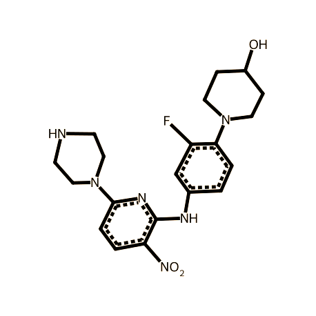 O=[N+]([O-])c1ccc(N2CCNCC2)nc1Nc1ccc(N2CCC(O)CC2)c(F)c1